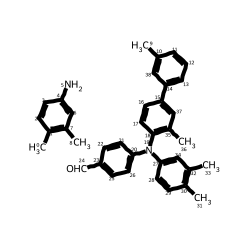 Cc1ccc(N)cc1C.Cc1cccc(-c2ccc(N(c3ccc(C=O)cc3)c3ccc(C)c(C)c3)c(C)c2)c1